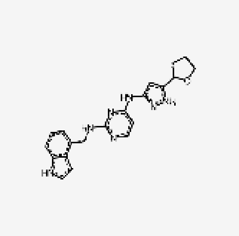 c1cc(CNc2nccc(Nc3cc(C4CCCO4)[nH]n3)n2)c2cc[nH]c2c1